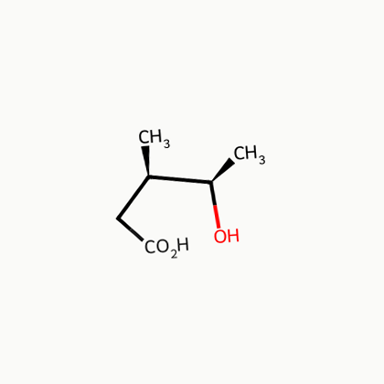 C[C@H](CC(=O)O)[C@@H](C)O